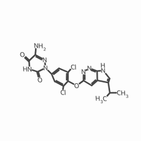 CC(C)c1c[nH]c2nnc(Oc3c(Cl)cc(-n4nc(N)c(=O)[nH]c4=O)cc3Cl)cc12